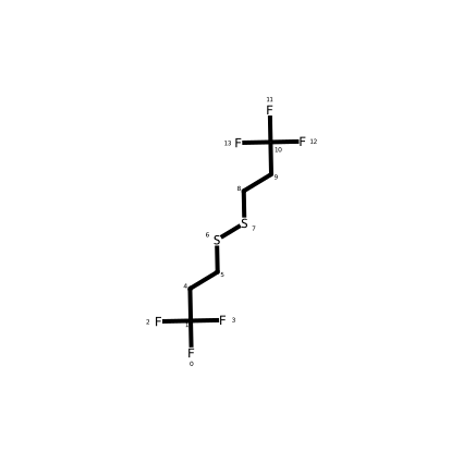 FC(F)(F)CCSSCCC(F)(F)F